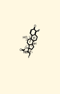 CCCCCC(=O)O[C@]1(C(=O)CF)[C@@H](C)C[C@H]2[C@@H]3CCC4=C(F)C(=O)C=C[C@]4(C)[C@@]3(F)[C@@H](O)C[C@@]21C